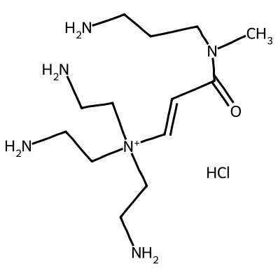 CN(CCCN)C(=O)C=C[N+](CCN)(CCN)CCN.Cl